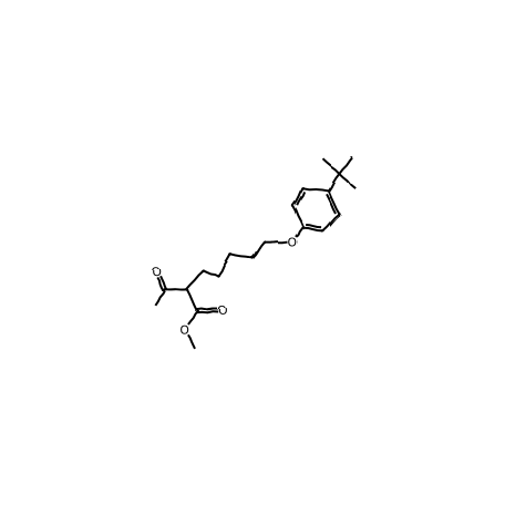 COC(=O)C(CCCCCOc1ccc(C(C)(C)C)cc1)C(C)=O